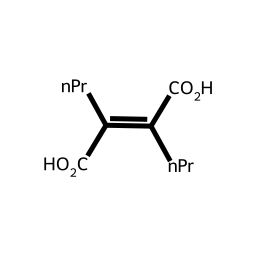 CCCC(C(=O)O)=C(CCC)C(=O)O